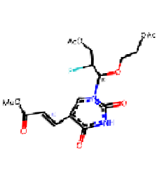 COC(=O)/C=C/c1cn([C@H](OCCOC(C)=O)C(F)COC(C)=O)c(=O)[nH]c1=O